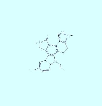 CC(=O)C1=CC2c3c4c(c5c(c3N(CC(C)C)C2C=C1)CCc1c-5cnn1C)C(=O)NC4